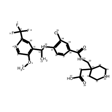 COc1cnc(C(F)(F)F)cc1C(C)Nc1ccc(C(=O)NCC2(CC(=O)O)CCNCC2)cc1Cl